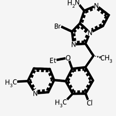 CCOc1c([C@@H](C)c2nc(Br)c3c(N)nccn23)cc(Cl)c(C)c1-c1ccc(C)nc1